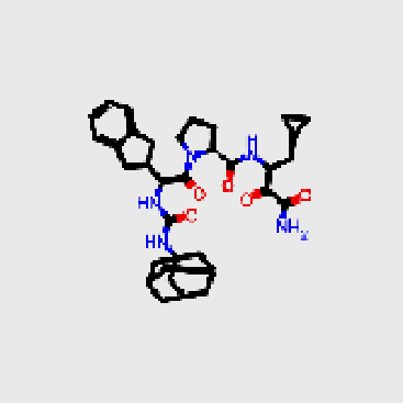 NC(=O)C(=O)C(CC1CC1)NC(=O)[C@@H]1CCCN1C(=O)C(NC(=O)NC12CC3CC(CC(C3)C1)C2)C1Cc2ccccc2C1